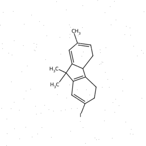 CC1=CCC2C(=C1)C(C)(C)C1=C2CCC(I)=C1